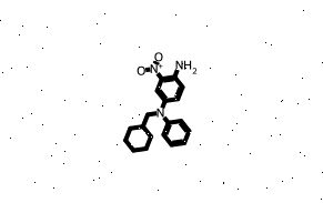 Nc1ccc(N(CC2CCCCC2)c2ccccc2)cc1[N+](=O)[O-]